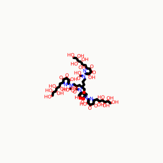 O=C1C(=O)C(O)=C(N(CCCC(CCCN(C(=O)O)C2=C(O)C(=O)C(=O)C(CC(O)C(O)C(O)C(O)CO)=N2)(CCCN(C(=O)O)C2=C(O)C(=O)C(=O)C(CC(O)C(O)C(O)C(O)CO)=N2)N(C(=O)O)c2ccccc2)C(=O)O)N=C1CC(O)C(O)C(O)C(O)CO